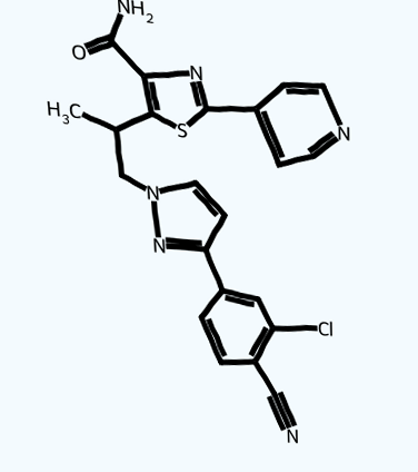 CC(Cn1ccc(-c2ccc(C#N)c(Cl)c2)n1)c1sc(-c2ccncc2)nc1C(N)=O